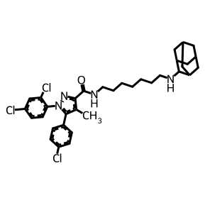 Cc1c(C(=O)NCCCCCCCNC2C3CC4CC(C3)CC2C4)nn(-c2ccc(Cl)cc2Cl)c1-c1ccc(Cl)cc1